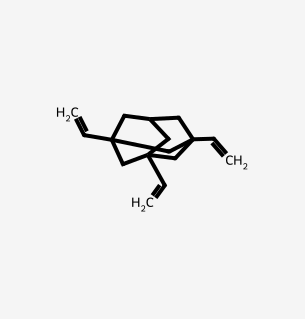 C=CC12CC3CC(C=C)(C1)CC(C=C)(C3)C2